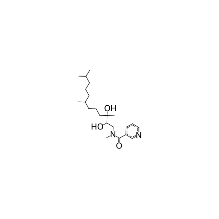 CC(C)CCCC(C)CCCC(C)(O)C(O)CN(C)C(=O)c1cccnc1